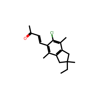 CCC1(C)Cc2c(C)c(Cl)c(/C=C/C(C)=O)c(C)c2C1